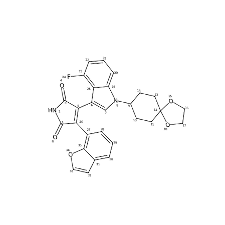 O=C1NC(=O)C(c2cn(C3CCC4(CC3)OCCO4)c3cccc(F)c23)=C1c1cccc2ccoc12